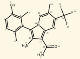 Cc1ccc(O)c(C)c1-c1c(N)c(C(N)=O)c2cc(C(F)(F)F)c(C)nn12